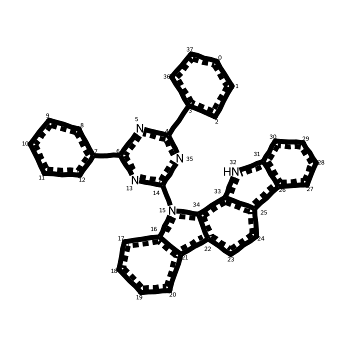 c1ccc(-c2nc(-c3ccccc3)nc(-n3c4ccccc4c4ccc5c6ccccc6[nH]c5c43)n2)cc1